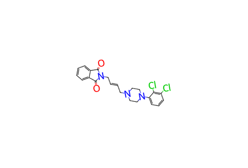 O=C1c2ccccc2C(=O)N1CC=CCN1CCN(c2cccc(Cl)c2Cl)CC1